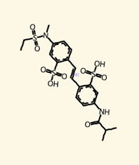 CCS(=O)(=O)N(C)c1ccc(/C=C/c2ccc(NC(=O)C(C)C)cc2S(=O)(=O)O)c(S(=O)(=O)O)c1